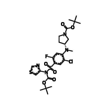 CN(c1cc(F)c(S(=O)(=O)N(C(=O)OC(C)(C)C)c2cscn2)cc1Cl)[C@@H]1CCN(C(=O)OC(C)(C)C)C1